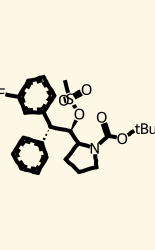 CC(C)(C)OC(=O)N1CCCC1[C@H](OS(C)(=O)=O)[C@H](c1ccccc1)c1cccc(F)c1